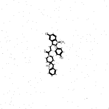 CN1c2ccc(Cl)cc2[C@H](CCC(=O)N2CCC(O)(Cc3ccccc3)CC2)[C@@H]1c1ccc(Cl)cc1